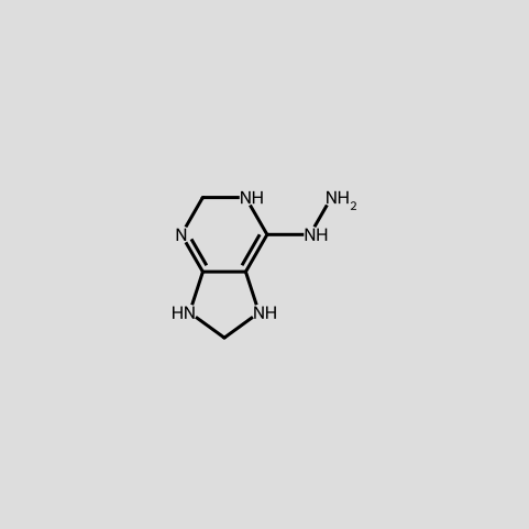 NNC1=C2NCNC2=NCN1